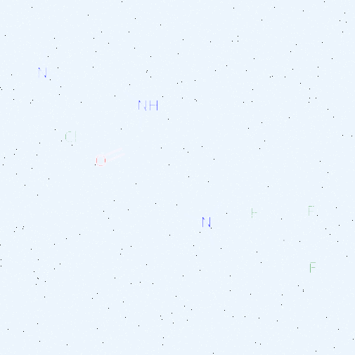 Cc1cc(C(=O)Nc2cccnc2Cl)c(C)n1-c1ccccc1C(F)(F)F